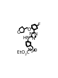 CCOC(=O)N=S(C)(=O)Cc1cccc(Nc2ncnc(-c3cc(F)ccc3OCC3CCOCC3)n2)c1